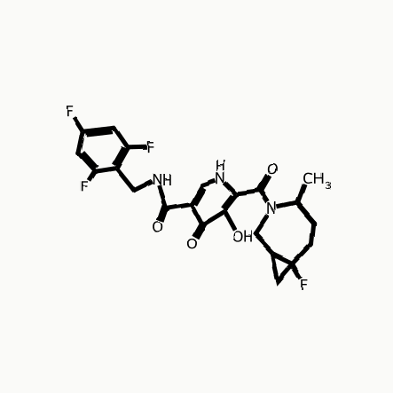 CC1CCC2(F)CC2CN1C(=O)c1[nH]cc(C(=O)NCc2c(F)cc(F)cc2F)c(=O)c1O